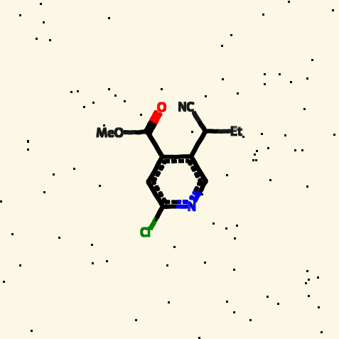 CCC(C#N)c1cnc(Cl)cc1C(=O)OC